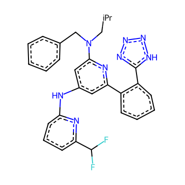 CC(C)CN(Cc1ccccc1)c1cc(Nc2cccc(C(F)F)n2)cc(-c2ccccc2-c2nnn[nH]2)n1